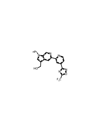 CCCn1cc(CO)c2cc(-c3cc(-c4noc(C(F)(F)F)n4)ccn3)ncc21